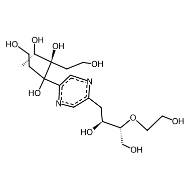 C[C@H](O)[C@](O)(CCO)C(O)(CCO)c1cnc(C[C@H](O)[C@@H](CO)OCCO)cn1